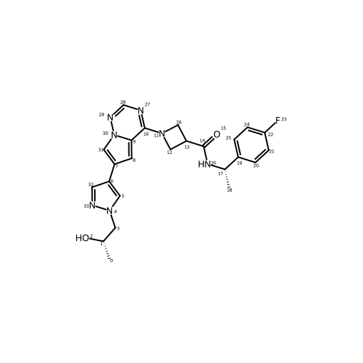 C[C@H](O)Cn1cc(-c2cc3c(N4CC(C(=O)N[C@@H](C)c5ccc(F)cc5)C4)ncnn3c2)cn1